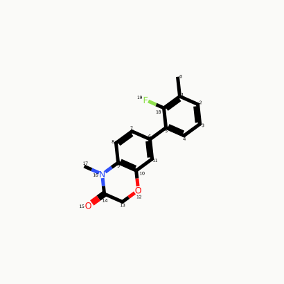 Cc1cccc(-c2ccc3c(c2)OCC(=O)N3C)c1F